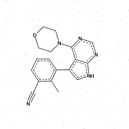 Cc1c(C#N)cccc1-c1c[nH]c2ncnc(N3CCOCC3)c12